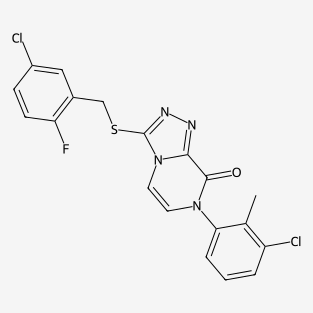 Cc1c(Cl)cccc1-n1ccn2c(SCc3cc(Cl)ccc3F)nnc2c1=O